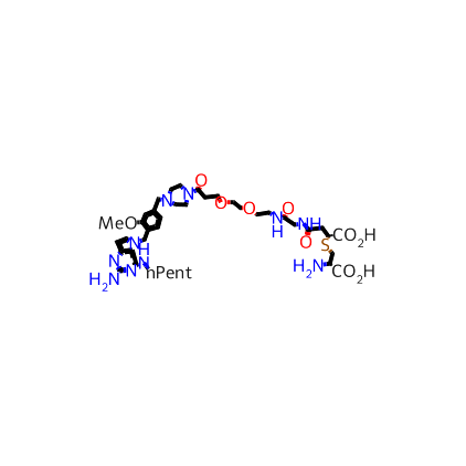 CCCCCNc1nc(N)nc2ccn(Cc3ccc(CN4CCN(C(=O)CCOCCOCCNC(=O)CNC(=O)C[C@H](SC[C@H](N)C(=O)O)C(=O)O)CC4)cc3OC)c12